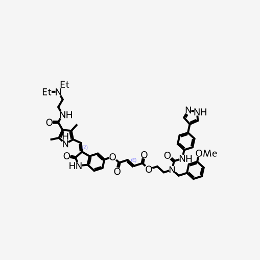 CCN(CC)CCNC(=O)c1c(C)[nH]c(/C=C2\C(=O)Nc3ccc(OC(=O)/C=C/C(=O)OCCN(Cc4cccc(OC)c4)C(=O)Nc4ccc(-c5cn[nH]c5)cc4)cc32)c1C